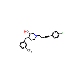 OC1CN(CCC#Cc2ccc(F)cc2)CCC1Cc1cccc(C(F)(F)F)c1